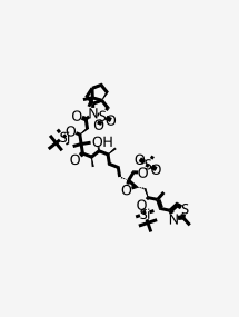 C/C(=C\c1csc(C)n1)[C@H](C[C@@H]1O[C@@]1(CCC[C@H](C)[C@H](O)[C@@H](C)C(=O)C(C)(C)[C@H](CC(=O)N1C2CC3CC[C@]2(CS1(=O)=O)C3(C)C)O[Si](C)(C)C(C)(C)C)COS(C)(=O)=O)O[Si](C)(C)C(C)(C)C